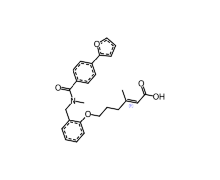 C/C(=C\C(=O)O)CCCOc1ccccc1CN(C)C(=O)c1ccc(-c2ccco2)cc1